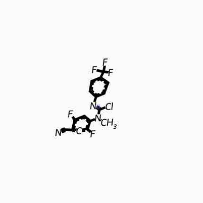 CN(/C(Cl)=N/c1ccc(C(F)(F)F)cc1)c1cc(F)c(C#N)cc1F